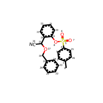 Cc1ccc(S(=O)(=O)Oc2ccccc2C(C#N)OCc2ccccc2)cc1